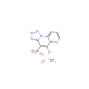 O=[N+]([O-])c1c(OS(=O)(=O)C(F)(F)F)c2ncccc2n2nnnc12